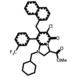 COC(=O)C1CN(CC2CCCCC2)c2c(-c3cccc(C(F)(F)F)c3)c(Cc3cccc4ccccc34)c(Cl)c(=O)n21